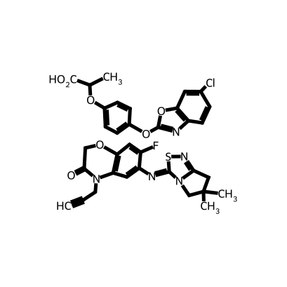 C#CCN1C(=O)COc2cc(F)c(/N=c3\snc4n3CC(C)(C)C4)cc21.CC(Oc1ccc(Oc2nc3ccc(Cl)cc3o2)cc1)C(=O)O